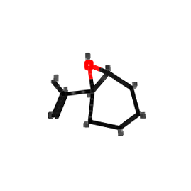 C=C(C)C12CCCCC1O2